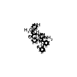 CC(C)(C=C(C#N)C(=O)N1CCC[C@H](n2nc(-c3ccccc3Oc3ccccc3F)c3c(N)ncnc32)C1)N1CCNCC1